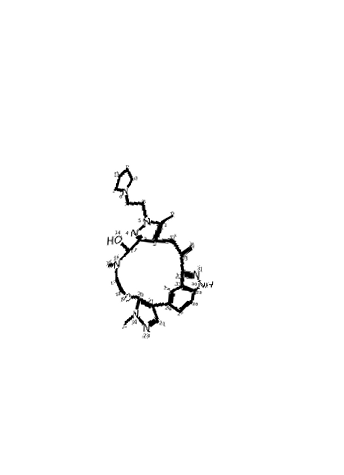 Cc1c2c(nn1CCN1CCCC1)C(O)N(C)CCOc1c(cnn1C)-c1ccc3[nH]nc(c3c1)C(C)C2